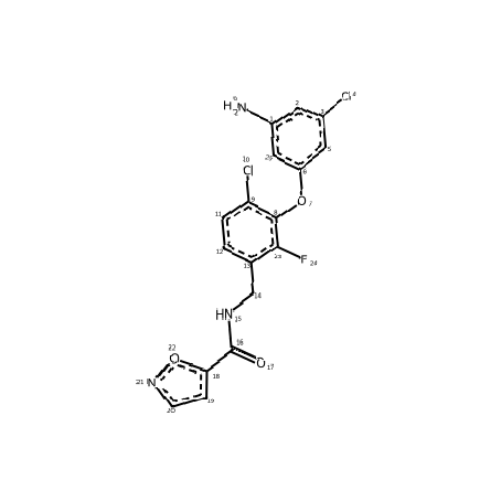 Nc1cc(Cl)cc(Oc2c(Cl)ccc(CNC(=O)c3ccno3)c2F)c1